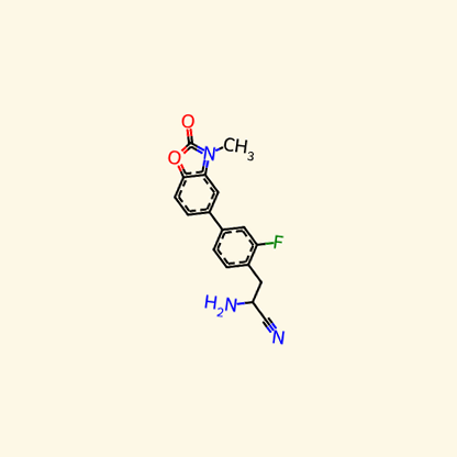 Cn1c(=O)oc2ccc(-c3ccc(CC(N)C#N)c(F)c3)cc21